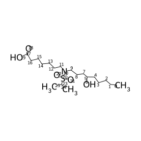 CCCCCC(O)CCCN(CCCCCCC(=O)O)S(=O)(=O)C(C)C